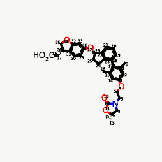 Cc1cc(OCCN2C[C@H](C)OC2=O)cc(C)c1-c1cccc2c1CC[C@H]2Oc1ccc2c(c1)OC[C@H]2CC(=O)O